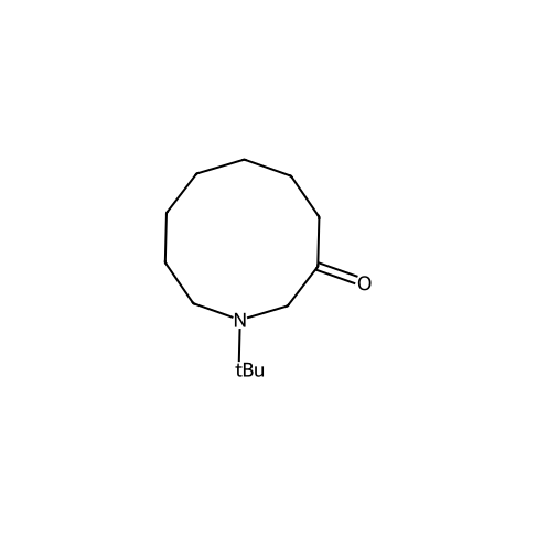 CC(C)(C)N1CCCCCCCC(=O)C1